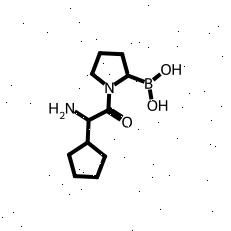 NC(C(=O)N1CCCC1B(O)O)C1CCCC1